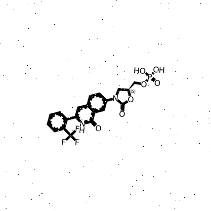 O=C1O[C@H](COP(=O)(O)O)CN1c1ccc2cc(-c3ccccc3C(F)(F)F)[nH]c(=O)c2c1